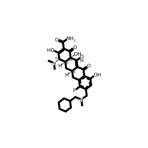 CN(Cc1cc(O)c2c(c1F)C[C@H]1C[C@H]3[C@H](N(C)C)C(O)=C(C(N)=O)C(=O)[C@@]3(O)C(O)=C1C2=O)CC1CCCCC1